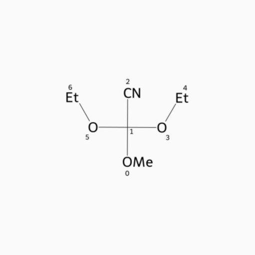 [CH2]OC(C#N)(OCC)OCC